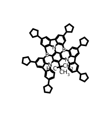 CC(C)(C)c1c2c3c4c5c1-n1c6ccc(C7CCCC7)cc6c6cc(C7CCCC7)cc(c61)B5c1cc(C5CCCC5)cc5c6cc(C7CCCC7)cc(c6n-4c15)B3c1cc(C3CCCC3)cc3c4cc(C5CCCC5)ccc4n-2c13